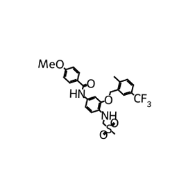 COc1ccc(C(=O)Nc2ccc(NCS(C)(=O)=O)c(OCc3cc(C(F)(F)F)ccc3C)c2)cc1